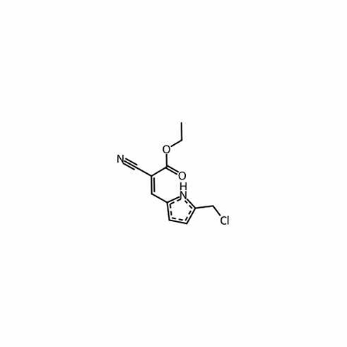 CCOC(=O)C(C#N)=Cc1ccc(CCl)[nH]1